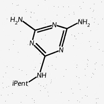 CCCC(C)Nc1nc(N)nc(N)n1